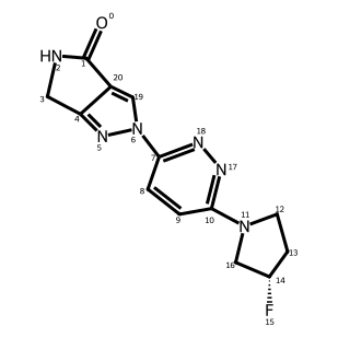 O=C1NCc2nn(-c3ccc(N4CC[C@H](F)C4)nn3)cc21